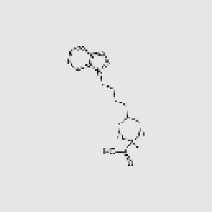 CC1(C(=O)O)OCC(CCCCn2ccc3ccccc32)CO1